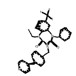 CCN1C(=O)N(Cc2ccc(-c3ccncc3)cc2)C(=O)N(c2ccccc2)c2cc(C(F)(F)F)ccc21